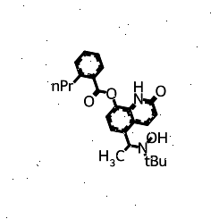 CCCc1ccccc1C(=O)Oc1ccc(C(C)N(O)C(C)(C)C)c2ccc(=O)[nH]c12